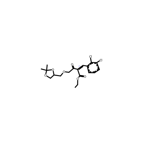 CCOC(=O)/C(=C\c1cccc(Cl)c1Cl)C(=O)COCC1COC(C)(C)O1